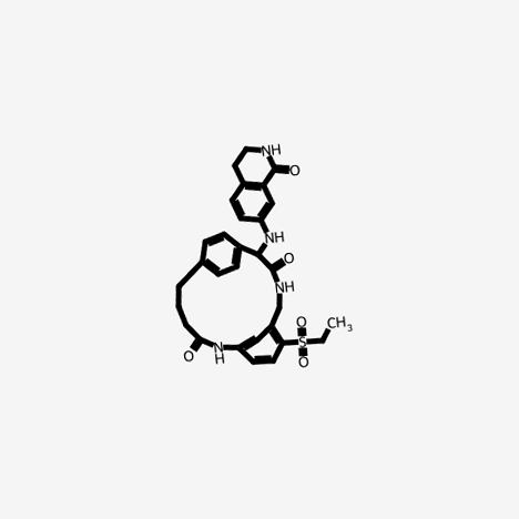 CCS(=O)(=O)c1ccc2cc1CNC(=O)C(Nc1ccc3c(c1)C(=O)NCC3)c1ccc(cc1)CCCC(=O)N2